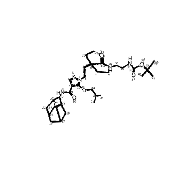 CCC(/C=C/n1ncc(C(=O)NC2C3CC4CC(C3)CC2C4)c1OCC(C)C)(CC)C(=O)NCCNC(=O)OC(C)(C)C